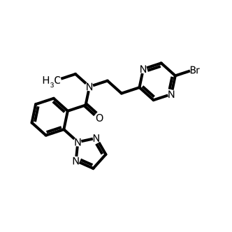 CCN(CCc1cnc(Br)cn1)C(=O)c1ccccc1-n1nccn1